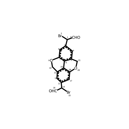 O=CC(Br)c1cc2c3c(c1)OCc1cc(C(Br)C=O)cc(c1-3)OC2